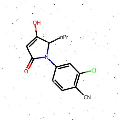 CCCC1C(O)=CC(=O)N1c1ccc(C#N)c(Cl)c1